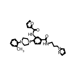 Cc1ccccc1N1CCN(c2ccc(C(=O)NCCCn3cccn3)cc2NC(=O)c2ccco2)CC1